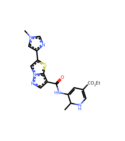 CCOC(=O)C1=CNC(C)C(NC(=O)c2cnn3cc(-c4cn(C)cn4)sc23)=C1